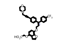 O=C(O)COc1ccc(OC/C=C(\c2ccc(C#CCN3CCOCC3)cc2)c2ccc(C(F)(F)F)cc2)c2occc12